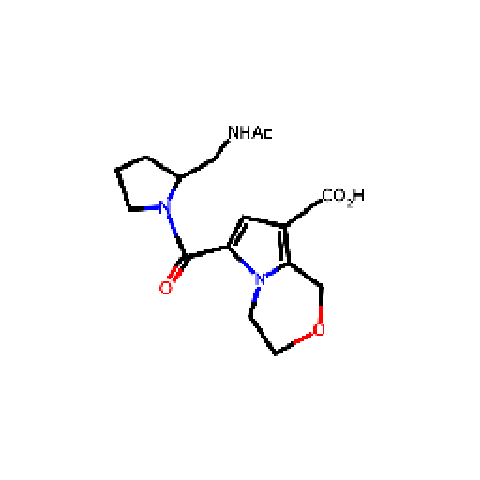 CC(=O)NCC1CCCN1C(=O)c1cc(C(=O)O)c2n1CCOC2